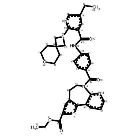 CCOC(=O)c1cc2c(o1)-c1cccnc1N(C(=O)c1ccc(NC(=O)c3cc(CC)cnc3N3CC4(CCOCC4)C3)cc1)CC2